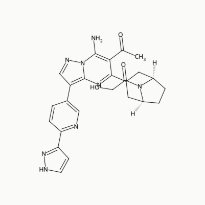 CC(=O)c1c(C2C[C@H]3CC[C@@H](C2)N3C(=O)CO)nc2c(-c3ccc(-c4cc[nH]n4)nc3)cnn2c1N